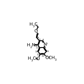 CCOC=Cc1cnc2cc(OC)c(OC)cc2c1N